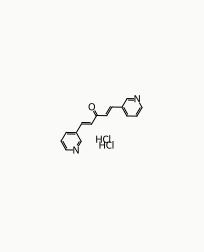 Cl.Cl.O=C(C=Cc1cccnc1)C=Cc1cccnc1